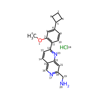 COc1cc(C2CCC2)ccc1-c1ccc2cnc(CN)cc2n1.Cl